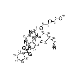 COCCOCCOCc1nc2cnc3c(ccn3S(=O)(=O)c3ccccc3)c2n1[C@H]1CC[C@H](CC#N)CC1